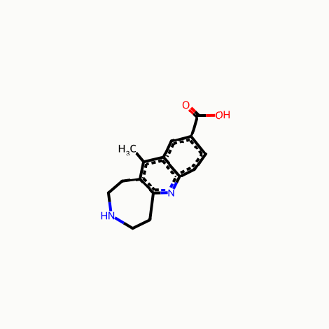 Cc1c2c(nc3ccc(C(=O)O)cc13)CCNCC2